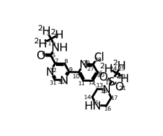 [2H]C([2H])([2H])NC(=O)c1cc(-c2cc([C@H]3CNCCN3S(=O)(=O)C([2H])([2H])[2H])cc(Cl)n2)ncn1